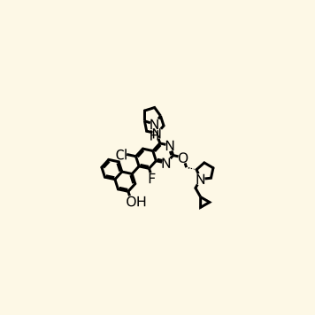 Oc1cc(-c2c(Cl)cc3c(N4CC5CCC(C4)N5)nc(OC[C@@H]4CCCN4CC4CC4)nc3c2F)c2ccccc2c1